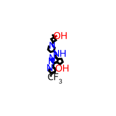 CC1(O)CC(N2CCCC(Nc3nnc(-c4ncc(C(F)(F)F)cc4O)c4c3CCC4)C2)C1